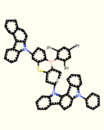 CC(C)c1cc(C(C)C)c(B2c3ccc(-n4c5ccccc5c5c6ccccc6ccc54)cc3Sc3cc(-n4c5ccccc5c5ccc6c(c7ccccc7n6-c6ccccc6)c54)ccc32)c(C(C)C)c1